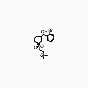 C[Si](C)(C)CCS(=O)(=O)N1CCCC(C(O)c2ccccc2Br)C1